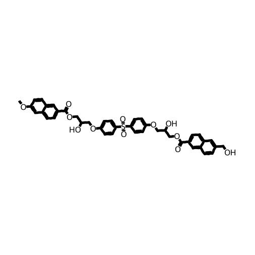 COc1ccc2cc(C(=O)OCC(O)COc3ccc(S(=O)(=O)c4ccc(OCC(O)COC(=O)c5ccc6cc(CO)ccc6c5)cc4)cc3)ccc2c1